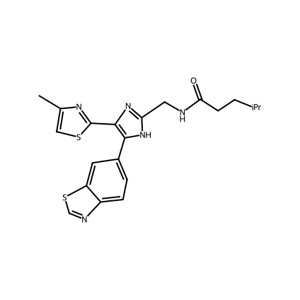 Cc1csc(-c2nc(CNC(=O)CCC(C)C)[nH]c2-c2ccc3ncsc3c2)n1